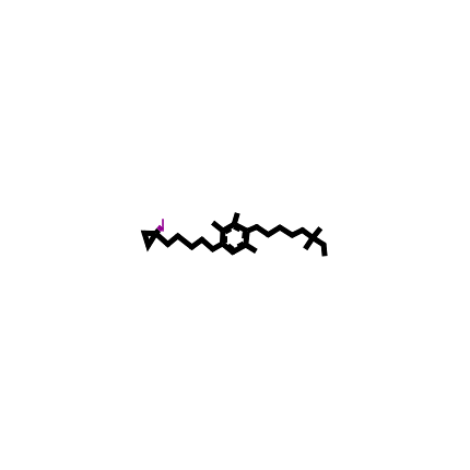 CCC(C)(C)CCCCCc1c(C)cc(CCCCCC2(I)CC2)c(C)c1C